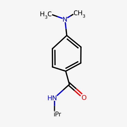 CC(C)NC(=O)c1ccc(N(C)C)cc1